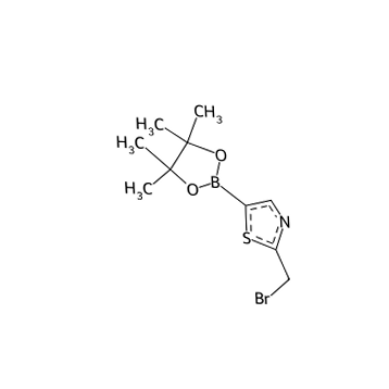 CC1(C)OB(c2cnc(CBr)s2)OC1(C)C